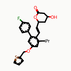 CC(C)c1cc(OCc2cccs2)cc(-c2ccc(F)cc2)c1/C=C/C1CC(O)CC(=O)O1